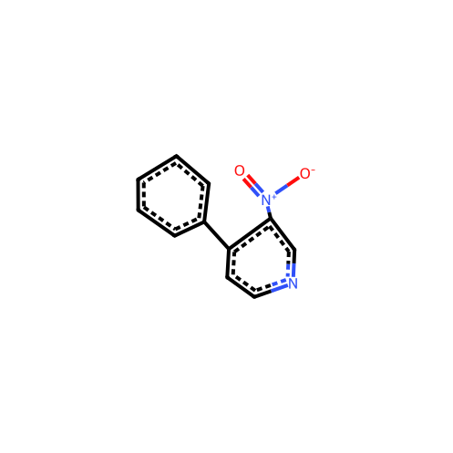 O=[N+]([O-])c1cnccc1-c1ccccc1